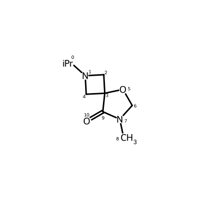 CC(C)N1CC2(C1)OCN(C)C2=O